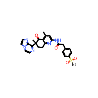 CCS(=O)(=O)c1ccc(CC(=O)Nc2cc(C)c3c(n2)CCC(C)(c2nccn4ccnc24)C3=O)cc1